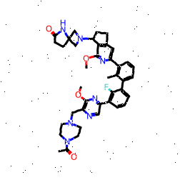 COc1nc(-c2cccc(-c3cccc(-c4cc5c(c(OC)n4)C(N4CC6(CCC(=O)N6)C4)CC5)c3C)c2F)cnc1CN1CCN(C(C)=O)CC1